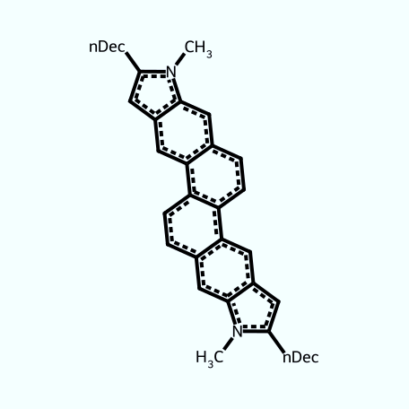 CCCCCCCCCCc1cc2cc3c(ccc4c5cc6cc(CCCCCCCCCC)n(C)c6cc5ccc34)cc2n1C